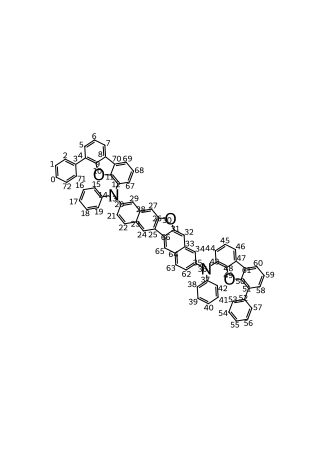 c1ccc(-c2cccc3c2oc2c(N(c4ccccc4)c4ccc5cc6c(cc5c4)oc4cc5cc(N(c7ccccc7)c7cccc8c7oc7c(-c9ccccc9)cccc78)ccc5cc46)cccc23)cc1